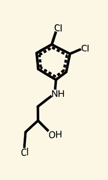 OC(CCl)CNc1ccc(Cl)c(Cl)c1